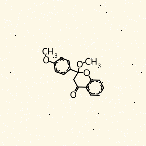 COc1ccc(C2(OC)CC(=O)c3ccccc3O2)cc1